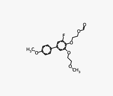 COCCOc1cc(-c2ccc(OC)cc2)cc(F)c1OCCOC=O